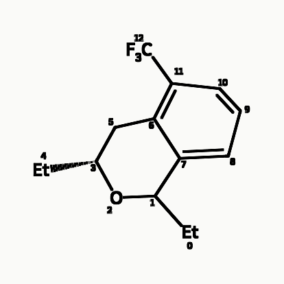 CCC1O[C@H](CC)Cc2c1cccc2C(F)(F)F